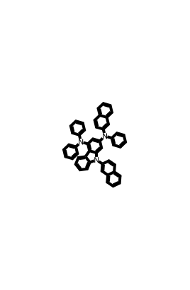 c1ccc(N(c2ccc3ccccc3c2)c2cc(N(c3ccccc3)c3ccccc3)c3c4ccccc4n(-c4ccc5ccccc5c4)c3c2)cc1